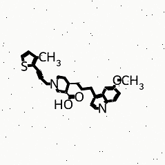 COc1ccc2nccc(CCC[C@@H]3CCN(CC#Cc4sccc4C)C[C@@H]3C(=O)O)c2c1